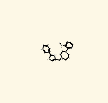 COc1ccccc1N1CCCN(Cc2csc(-c3cccnc3)n2)CC1